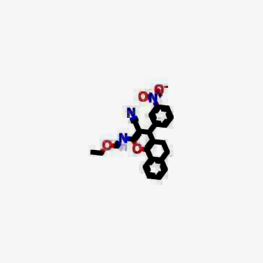 CCO/C=N/C1=C(C#N)C(c2cccc([N+](=O)[O-])c2)C2=C(O1)c1ccccc1CC2